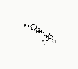 CC(C)(C)c1ccc(CNCCn2ncc(Cl)c2C(F)(F)F)cc1